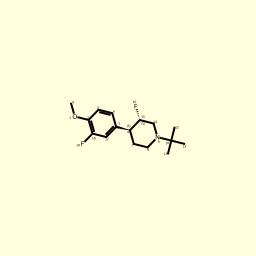 COc1ccc([C@@H]2CCN(C(C)(C)C)C[C@H]2F)cc1F